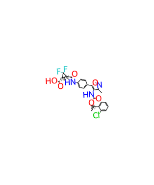 Cc1noc(-c2ccc(NC(=O)[C@H]3[C@H](C(=O)O)C3(F)F)cc2)c1NC(=O)O[C@H](C)c1ccccc1Cl